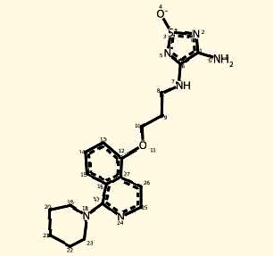 Nc1n[s+]([O-])nc1NCCCOc1cccc2c(N3CCCCC3)nccc12